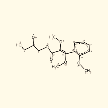 COC(C(=O)OCC(O)CO)=C(OC)c1ccccc1OC